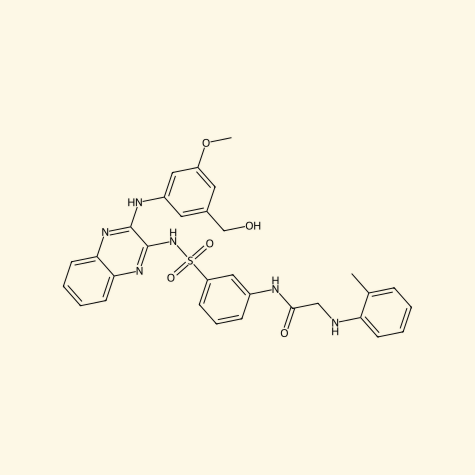 COc1cc(CO)cc(Nc2nc3ccccc3nc2NS(=O)(=O)c2cccc(NC(=O)CNc3ccccc3C)c2)c1